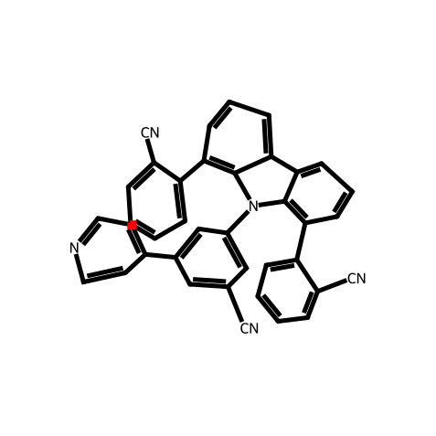 N#Cc1cc(-c2ccncc2)cc(-n2c3c(-c4ccccc4C#N)cccc3c3cccc(-c4ccccc4C#N)c32)c1